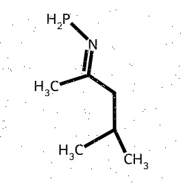 C/C(CC(C)C)=N\P